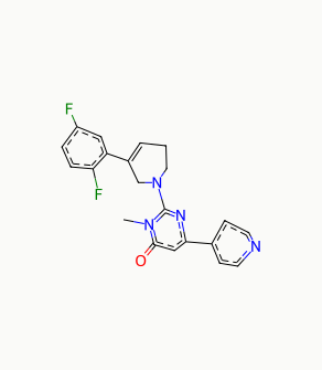 Cn1c(N2CCC=C(c3cc(F)ccc3F)C2)nc(-c2ccncc2)cc1=O